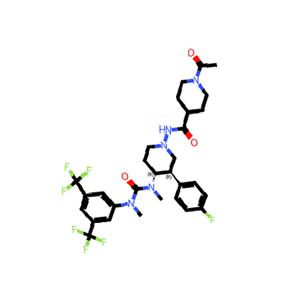 CC(=O)N1CCC(C(=O)NN2CC[C@@H](N(C)C(=O)N(C)c3cc(C(F)(F)F)cc(C(F)(F)F)c3)[C@H](c3ccc(F)cc3)C2)CC1